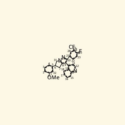 COc1cccc(C2Cc3c(-c4ccnc5ccccc45)c(-c4ccc(F)c(C(F)(F)F)c4)nn3C2)c1